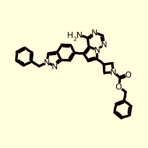 Nc1ncnn2c(C3CN(C(=O)OCc4ccccc4)C3)cc(-c3ccc4cn(Cc5ccccc5)nc4c3)c12